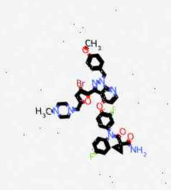 COc1ccc(Cn2nc(-c3oc(CN4CCN(C)CC4)cc3Br)c3c(Oc4ccc(N(C(=O)C5(C(N)=O)CC5)c5ccc(F)cc5)cc4F)ccnc32)cc1